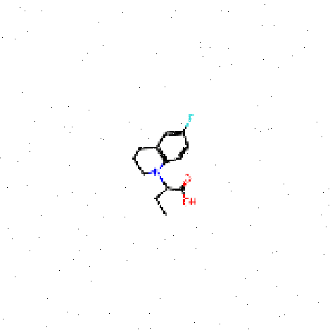 CC[C@H](C(=O)O)N1CCCc2cc(F)ccc21